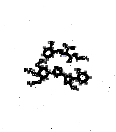 CCOC(=O)/C(=C/Nc1ccccc1Br)[N+](=O)[O-].COc1cc(-c2noc(-c3cn(-c4ccccc4Br)c(C)n3)n2)cc(OC)c1OC